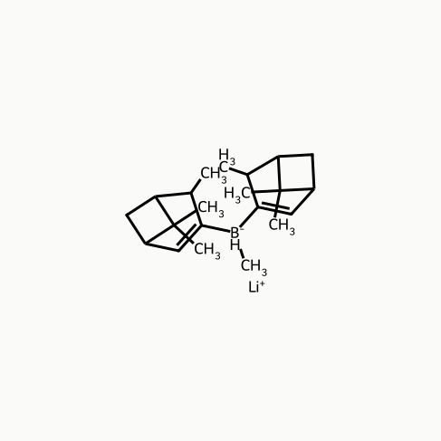 C[BH-](C1=CC2CC(C1C)C2(C)C)C1=CC2CC(C1C)C2(C)C.[Li+]